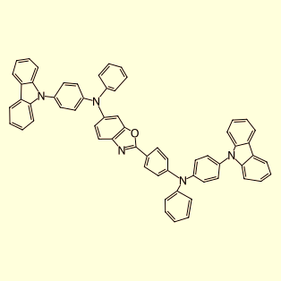 c1ccc(N(c2ccc(-c3nc4ccc(N(c5ccccc5)c5ccc(-n6c7ccccc7c7ccccc76)cc5)cc4o3)cc2)c2ccc(-n3c4ccccc4c4ccccc43)cc2)cc1